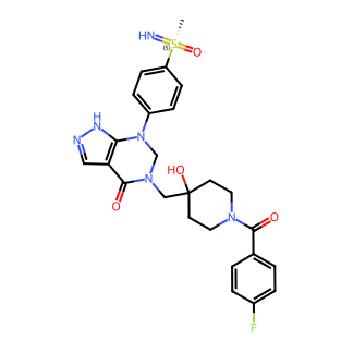 C[S@](=N)(=O)c1ccc(N2CN(CC3(O)CCN(C(=O)c4ccc(F)cc4)CC3)C(=O)c3cn[nH]c32)cc1